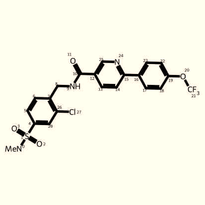 CNS(=O)(=O)c1ccc(CNC(=O)c2ccc(-c3ccc(OC(F)(F)F)cc3)nc2)c(Cl)c1